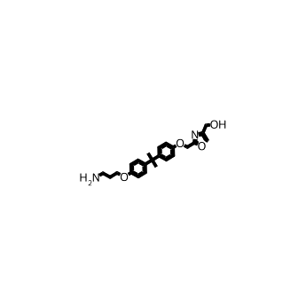 CC(C)(c1ccc(OCCCN)cc1)c1ccc(OCc2nc(CO)co2)cc1